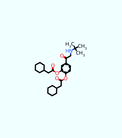 CC(C)(C)NCC(=O)c1ccc(OC(=O)CC2CCCCC2)c(OC(=O)CC2CCCCC2)c1